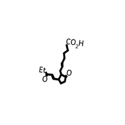 CCC(=O)/C=C/C1CCC(=O)C1C/C=C/CCCCC(=O)O